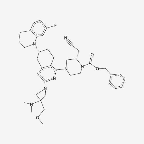 COCC1(N(C)C)CN(c2nc3c(c(N4CCN(C(=O)OCc5ccccc5)[C@@H](CC#N)C4)n2)CC[C@@H](N2CCCc4ccc(F)cc42)C3)C1